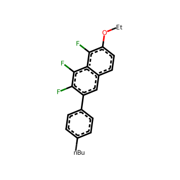 CCCCc1ccc(-c2cc3ccc(OCC)c(F)c3c(F)c2F)cc1